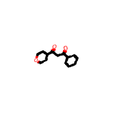 O=C(CC(=O)C1CCOCC1)C1CCCCC1